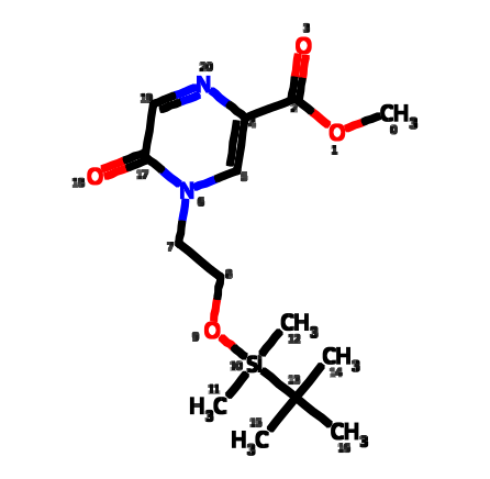 COC(=O)c1cn(CCO[Si](C)(C)C(C)(C)C)c(=O)cn1